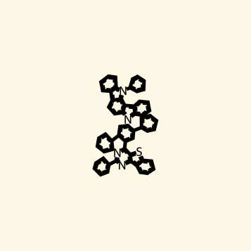 c1ccc(-c2nc(-c3cc(-c4ccccc4)c(-n4c5ccccc5c5c4ccc4c6ccccc6n(-c6ccccc6)c45)cc3-c3ccccc3)c3sc4ccccc4c3n2)cc1